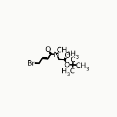 CN(CC(=O)OC(C)(C)C)C(=O)/C=C/CBr